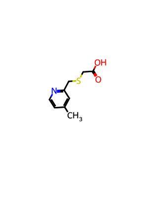 Cc1ccnc(CSCC(=O)O)c1